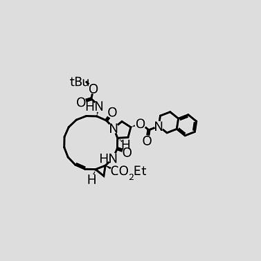 CCOC(=O)[C@@]12C[C@H]1/C=C\CCCCCC[C@H](NC(=O)OC(C)(C)C)C(=O)N1C[C@H](OC(=O)N3CCc4ccccc4C3)C[C@H]1C(=O)N2